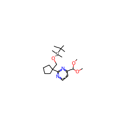 COC(OC)c1ccnc(C2(CO[Si](C)(C)C(C)(C)C)CCCC2)n1